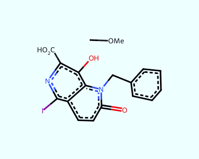 COC.O=C(O)c1nc(I)c2ccc(=O)n(Cc3ccccc3)c2c1O